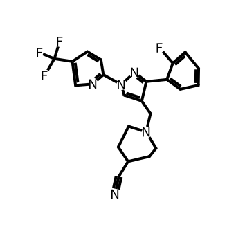 N#CC1CCN(Cc2cn(-c3ccc(C(F)(F)F)cn3)nc2-c2ccccc2F)CC1